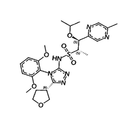 COc1cccc(OC)c1-n1c(NS(=O)(=O)[C@@H](C)[C@@H](OC(C)C)c2cnc(C)cn2)nnc1[C@H]1CCOC1